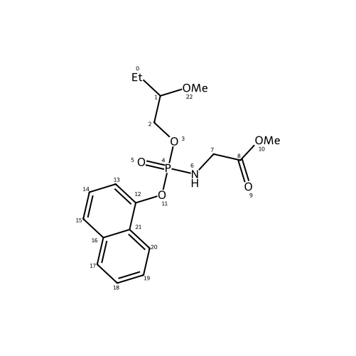 CCC(COP(=O)(NCC(=O)OC)Oc1cccc2ccccc12)OC